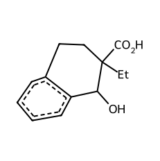 CCC1(C(=O)O)CCc2ccccc2C1O